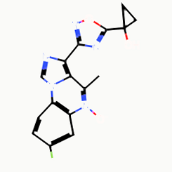 Cc1c2c(-c3noc(C4(O)CC4)n3)ncn2c2ccc(F)cc2[n+]1[O-]